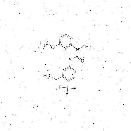 CCc1cc(SC(=O)N(C)c2cccc(OC)n2)ccc1C(F)(F)F